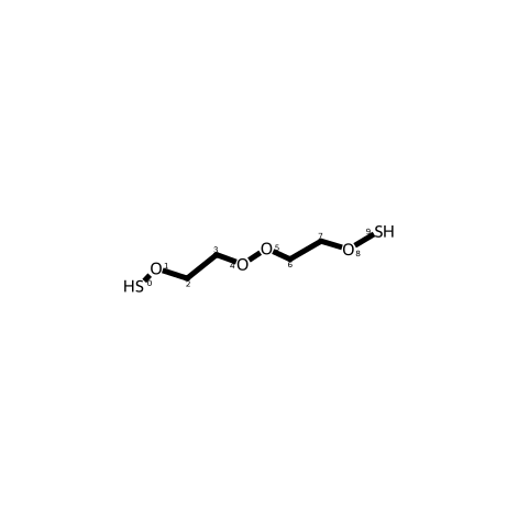 SOCCOOCCOS